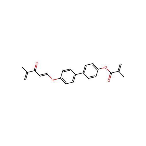 C=C(C)C(=O)/C=C/Oc1ccc(-c2ccc(OC(=O)C(=C)C)cc2)cc1